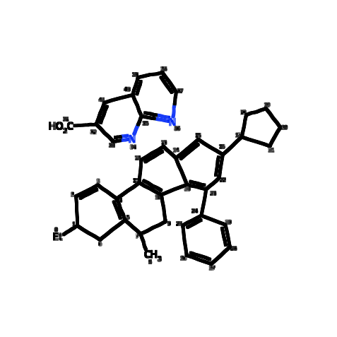 CCC1C=CC2=C(C1)C(C)Cc1c2ccc2cc(C3CCCC3)cc(-c3ccccc3)c12.O=C(O)c1cnc2ncccc2c1